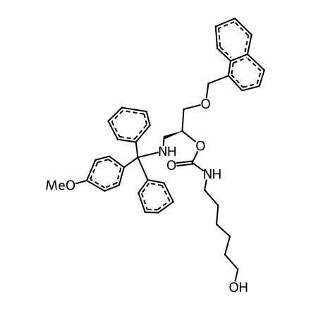 COc1ccc(C(NC[C@@H](COCc2cccc3ccccc23)OC(=O)NCCCCCCO)(c2ccccc2)c2ccccc2)cc1